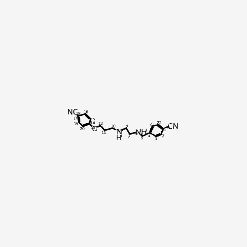 N#Cc1ccc(CNCCNCCCOc2ccc(C#N)cc2)cc1